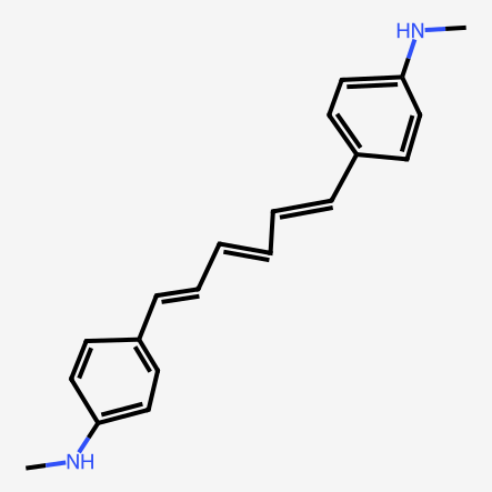 CNc1ccc(C=CC=CC=Cc2ccc(NC)cc2)cc1